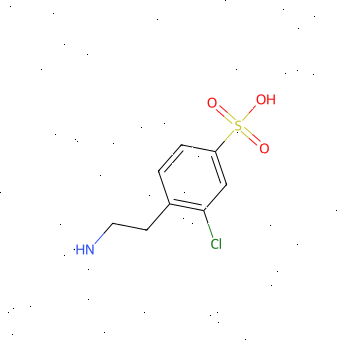 [NH]CCc1ccc(S(=O)(=O)O)cc1Cl